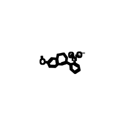 COc1ccc2c(c1)CCCC(c1ccccc1[N+](=O)[O-])=C2